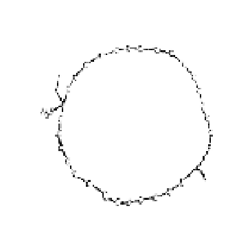 BC1(CC)CCCCCCCCCCCCCCCCCC(C)CCCCCCCCCCCCC1